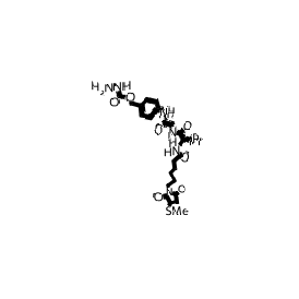 CSC1CC(=O)N(CCCCCC(=O)NC(C(=O)NCC(=O)Nc2ccc(COC(=O)NN)cc2)C(C)C)C1=O